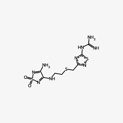 N=C(N)Nc1nc(CSCCNC2=NS(=O)(=O)N=C2N)ns1